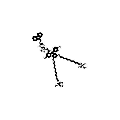 CC(C)C[C@H](NC(=O)OCC1c2ccccc2-c2ccccc21)C(=O)NCC(=O)OC(c1ccc(Cl)cc1)(c1ccc(Cl)cc1)c1cc(OCCCCCCCCCCCO[Si](C(C)C)(C(C)C)C(C)C)cc(OCCCCCCCCCCCO[Si](C(C)C)(C(C)C)C(C)C)c1